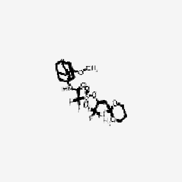 COC12CC3CC(CC(NC(=O)C(F)(F)S(=O)(=O)OC(CC4(C)OCCCO4)C(F)(F)F)(C3)C1)C2